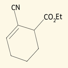 CCOC(=O)C1CCCC=C1C#N